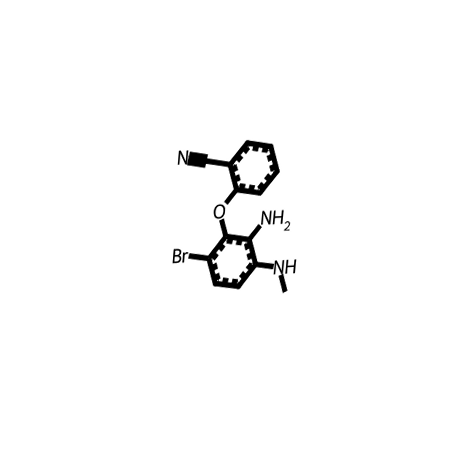 CNc1ccc(Br)c(Oc2ccccc2C#N)c1N